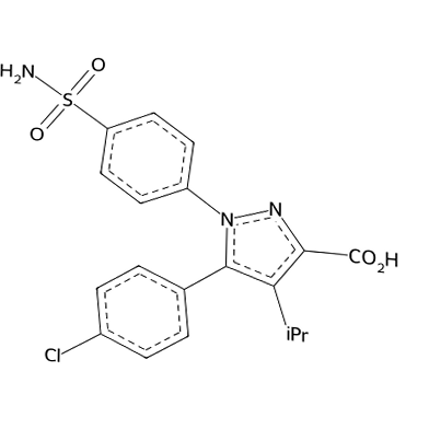 CC(C)c1c(C(=O)O)nn(-c2ccc(S(N)(=O)=O)cc2)c1-c1ccc(Cl)cc1